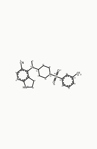 CN(c1c(C#N)cnc2c1CCN2)C1CCN(S(=O)(=O)c2cccc(C(F)(F)F)c2)CC1